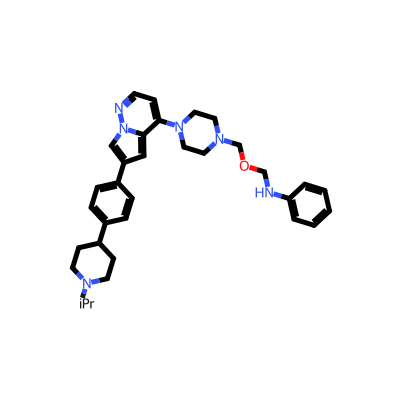 CC(C)N1CCC(c2ccc(-c3cc4c(N5CCN(COCNc6ccccc6)CC5)ccnn4c3)cc2)CC1